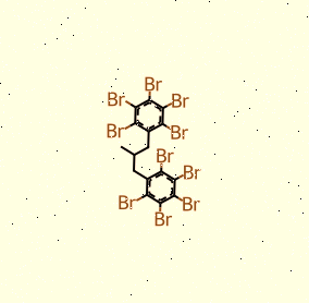 CC(Cc1c(Br)c(Br)c(Br)c(Br)c1Br)Cc1c(Br)c(Br)c(Br)c(Br)c1Br